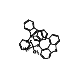 CC(C)(C)N(c1cccc2sc3cccc(-c4ccccc4)c3c12)c1cccc2c3ccccc3n(-c3ccccc3)c12